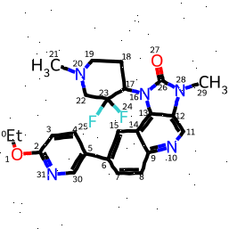 CCOc1ccc(-c2ccc3ncc4c(c3c2)n(C2CCN(C)CC2(F)F)c(=O)n4C)cn1